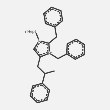 CCCCCCCn1cc(CC(C)c2ccccc2)[n+](Cc2ccccc2)c1Cc1ccccc1